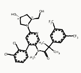 CN(C(=O)C(C)(C)c1cc(C(F)(F)F)cc(C(F)(F)F)c1)c1cnc(N2C[C@H](O)C[C@H]2CO)cc1-c1cccc(Cl)c1Cl